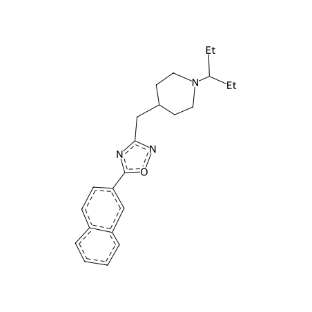 CCC(CC)N1CCC(Cc2noc(-c3ccc4ccccc4c3)n2)CC1